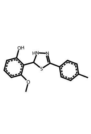 COc1cccc(O)c1C1NN=C(c2ccc(C)cc2)S1